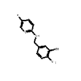 Nc1ccc(CNc2ccc(F)cn2)cc1O